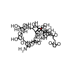 CC[C@H](C)[C@@H]1NC(=O)CNC(=O)C2Cc3c([nH]c4c(CSC5CN(C(=O)CCN6C(=O)CCC6=O)C5)c(OC)ccc34)[S+]([O-])C[C@H](NC(=O)CNC1=O)C(=O)N[C@@H](CC(N)=O)C(=O)N1C[C@H](O)CC1C(=O)N[C@@H]([C@@H](C)[C@@H](O)CO)C(=O)N2